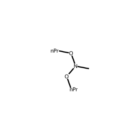 CCCON(C)OCCC